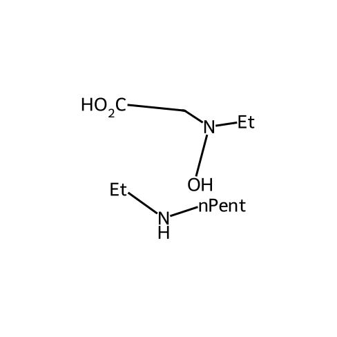 CCCCCNCC.CCN(O)CC(=O)O